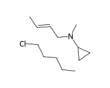 C/C=C/CN(C)C1CC1.CCCCCCl